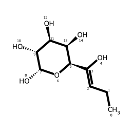 CCC=C(O)[C@H]1O[C@H](O)[C@H](O)[C@@H](O)[C@H]1O